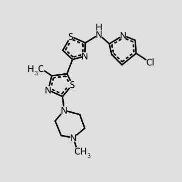 Cc1nc(N2CCN(C)CC2)sc1-c1csc(Nc2ccc(Cl)cn2)n1